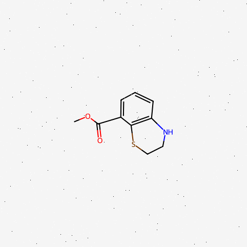 COC(=O)c1cccc2c1SCCN2